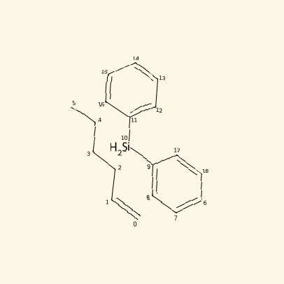 C=CCCCC.c1ccc([SiH2]c2ccccc2)cc1